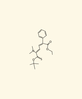 CCOC(=O)C(=CC=C(C(=S)OC(C)(C)C)N(C)C)c1ccccc1